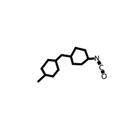 CC1CCC(CC2CCC(N=C=O)CC2)CC1